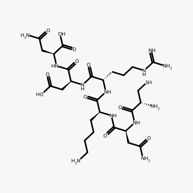 N=C(N)NCCC[C@H](NC(=O)[C@H](CCCCN)NC(=O)[C@H](CC(N)=O)NC(=O)[C@@H](N)CS)C(=O)N[C@@H](CC(=O)O)C(=O)N[C@@H](CC(N)=O)C(=O)O